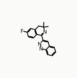 CC1(C)Cc2cc(F)ccc2C(c2cc3ccccc3nn2)=N1